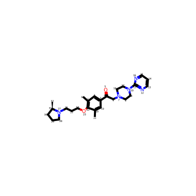 Cc1cc(C(=O)CN2CCN(c3ncccn3)CC2)cc(C)c1OCCCN1CCC[C@H]1C